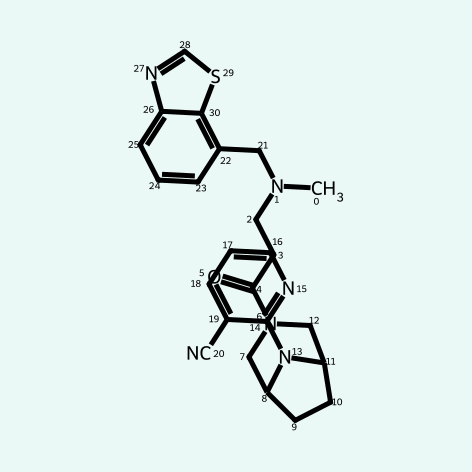 CN(CCC(=O)N1CC2CCC(C1)N2c1ncccc1C#N)Cc1cccc2ncsc12